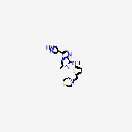 Cc1cn2c(-c3cn[nH]c3)cnc2c(Nc2ccc(CN3CCSCC3)s2)n1